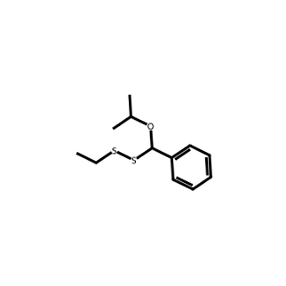 CCSSC(OC(C)C)c1ccccc1